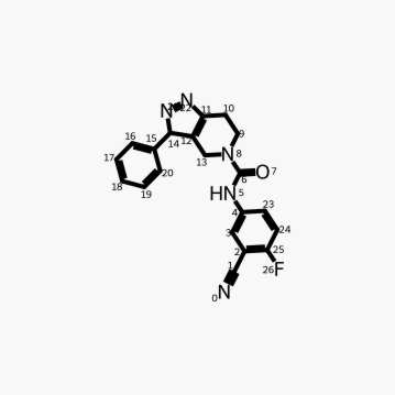 N#Cc1cc(NC(=O)N2CCC3=C(C2)C(c2ccccc2)N=N3)ccc1F